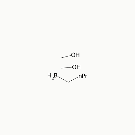 BCCCC.CO.CO